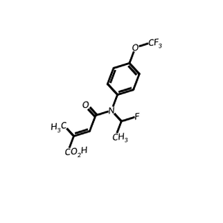 C/C(=C\C(=O)N(c1ccc(OC(F)(F)F)cc1)C(C)F)C(=O)O